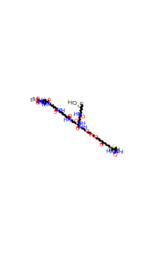 CC(C)(C)OC(=O)NNc1ccc(C(=O)NCCCCCC(=O)NCCCCCC(=O)NCCCC[C@H](NC(=O)CCC(=O)NCCCCCC(=O)O)C(=O)NCCCOCCOCCOCCCCC(=O)CCCC[C@@H]2SC[C@@H]3NC(=O)N[C@@H]32)cn1